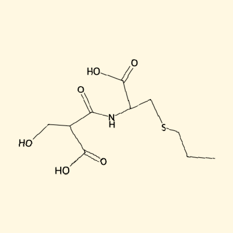 CCCSCC(NC(=O)C(CO)C(=O)O)C(=O)O